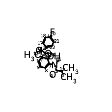 CC(C)C(=O)N(F)C1=CC=CC(C)(S(=O)(=O)c2ccc(F)cc2)C1O